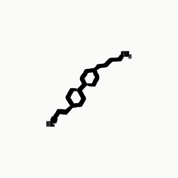 C#C/C=C/[C@H]1CC[C@H]([C@H]2CC[C@H](CCCCC)CC2)CC1